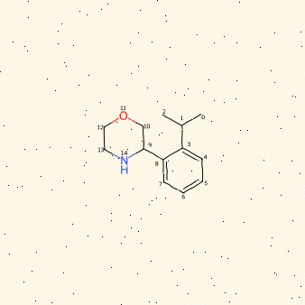 CC(C)c1ccccc1C1COCCN1